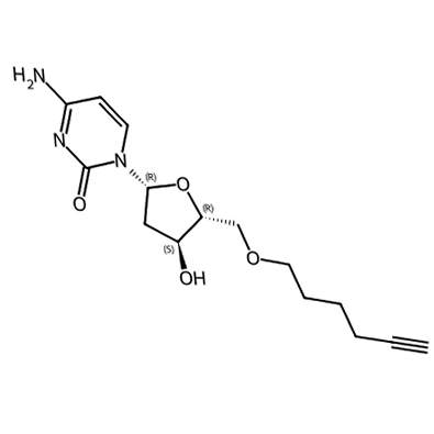 C#CCCCCOC[C@H]1O[C@@H](n2ccc(N)nc2=O)C[C@@H]1O